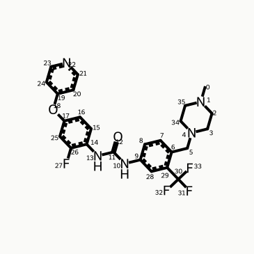 CN1CCN(Cc2ccc(NC(=O)Nc3ccc(Oc4ccncc4)cc3F)cc2C(F)(F)F)CC1